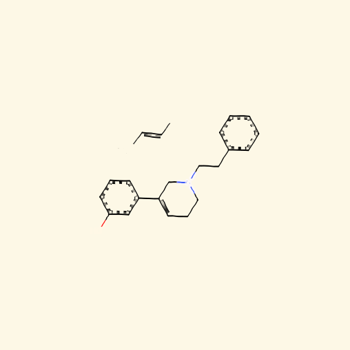 O=C(O)/C=C/C(=O)O.Oc1cccc(C2=CCCN(CCc3ccccc3)C2)c1